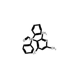 Cc1cc(C)c([PH](C=O)(c2ccccc2)c2ccccc2)c(C)n1